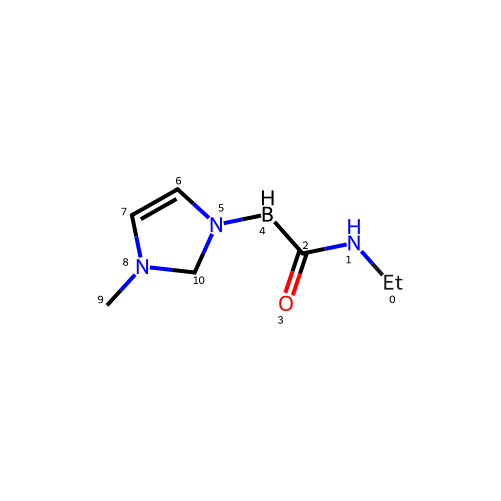 CCNC(=O)BN1C=CN(C)C1